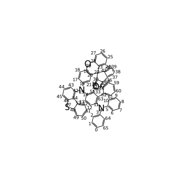 c1ccc(N(c2ccccc2)c2ccc(N(c3ccc4c(c3)C3(c5ccccc5O4)c4ccccc4-c4ccccc43)c3cccc4sc5ccccc5c34)c3oc4ccccc4c23)cc1